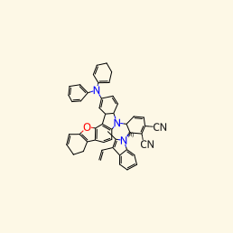 C=Cc1c(C)n([C@@H]2C(C#N)=C(C#N)C=CC2N2c3ccc4c5c(oc4c3C3C=C(N(C4=CCCC=C4)c4ccccc4)C=CC32)C=CCC5)c2ccccc12